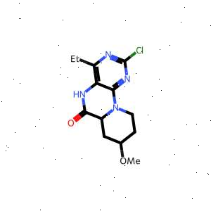 CCc1nc(Cl)nc2c1NC(=O)C1CC(OC)CCN21